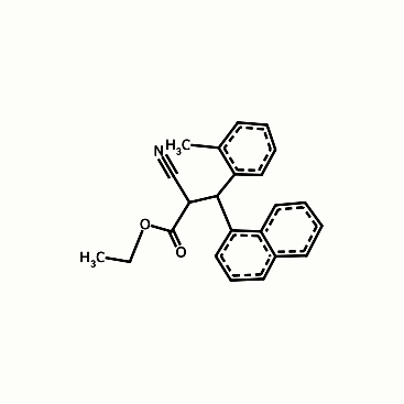 CCOC(=O)C(C#N)C(c1ccccc1C)c1cccc2ccccc12